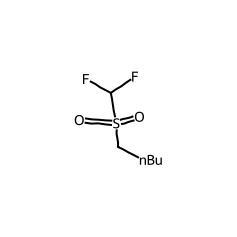 CCCCCS(=O)(=O)C(F)F